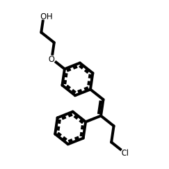 OCCOc1ccc(C=C(CCCl)c2ccccc2)cc1